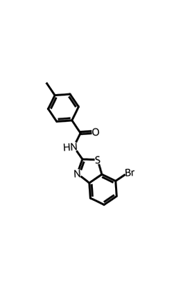 Cc1ccc(C(=O)Nc2nc3cccc(Br)c3s2)cc1